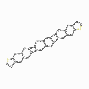 c1cc2cc3cc4c(cc3cc2s1)c1cc2cc3c5cc6cc7ccsc7cc6cc5c3cc2cc41